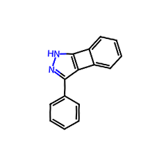 c1ccc(-c2n[nH]c3c2-c2ccccc2-3)cc1